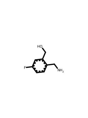 NCc1ccc(F)cc1CO